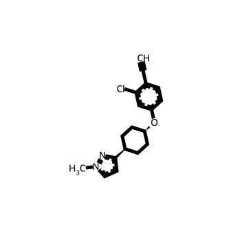 C#Cc1ccc(O[C@H]2CC[C@H](c3ccn(C)n3)CC2)cc1Cl